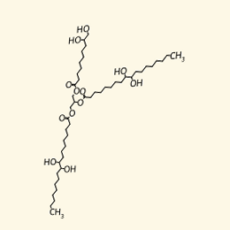 CCCCCCCCC(O)C(O)CCCCCCCC(=O)OCC(COC(=O)CCCCCCCC(O)CO)OC(=O)CCCCCCCC(O)C(O)CCCCCCCC